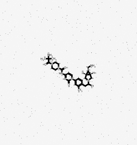 CCC(Cc1ccc(-n2ccc(NC(=O)N3CCN(C(=O)C(C)(C)N)CC3)nc2=O)cc1C(F)(F)F)N1C[C@@H]2[C@@H](CN)[C@@H]2C1